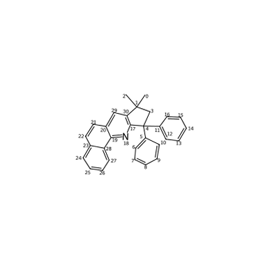 CC1(C)CC(c2ccccc2)(c2ccccc2)c2nc3c(ccc4ccccc43)cc21